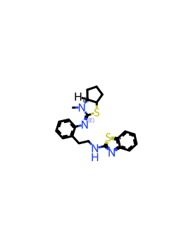 CN1/C(=N\c2ccccc2CCNc2nc3ccccc3s2)SC2CCC[C@H]21